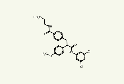 O=C(O)CCNC(=O)c1ccc(CC(C(=O)Nc2cc(Cl)cc(Cl)c2)c2ccc(OC(F)(F)F)cc2)cc1